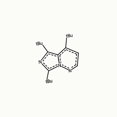 CC(C)(C)c1ccnn2c(C(C)(C)C)nc(C(C)(C)C)c12